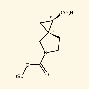 CC(C)(C)OC(=O)N1CC[C@]2(C[C@H]2C(=O)O)C1